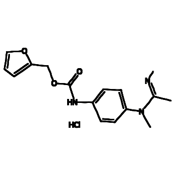 CN=C(C)N(C)c1ccc(NC(=O)OCc2ccco2)cc1.Cl